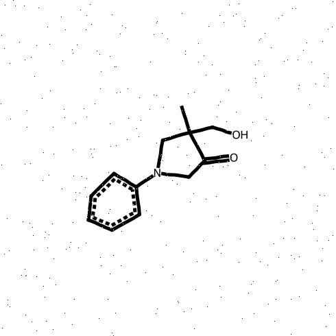 CC1(CO)CN(c2ccccc2)CC1=O